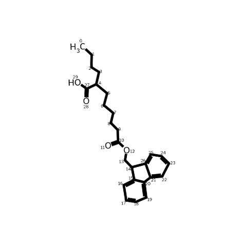 CCCCC(CCCCCC(=O)OCC1c2ccccc2-c2ccccc21)C(=O)O